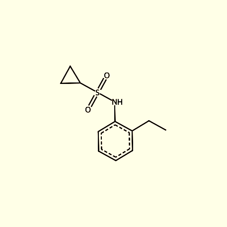 CCc1ccccc1NS(=O)(=O)C1CC1